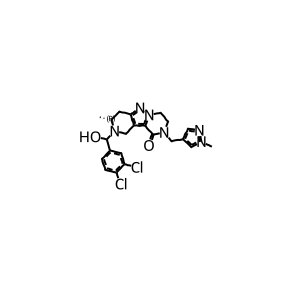 C[C@@H]1Cc2nn3c(c2CN1C(O)c1ccc(Cl)c(Cl)c1)C(=O)N(Cc1cnn(C)c1)CC3